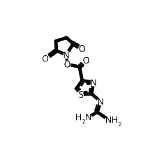 NC(N)=Nc1nc(C(=O)ON2C(=O)CCC2=O)cs1